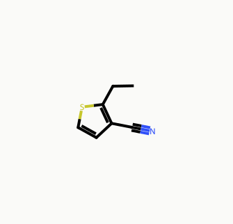 CCc1sccc1C#N